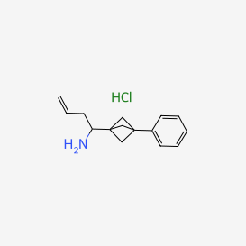 C=CCC(N)C12CC(c3ccccc3)(C1)C2.Cl